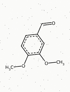 COc1ccc([C]=O)cc1OC